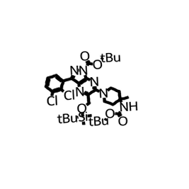 CC1(NC(=O)OC(C)(C)C)CCN(c2nc3c(nc2CO[Si](C)(C)C(C)(C)C)c(-c2cccc(Cl)c2Cl)nn3C(=O)OC(C)(C)C)CC1